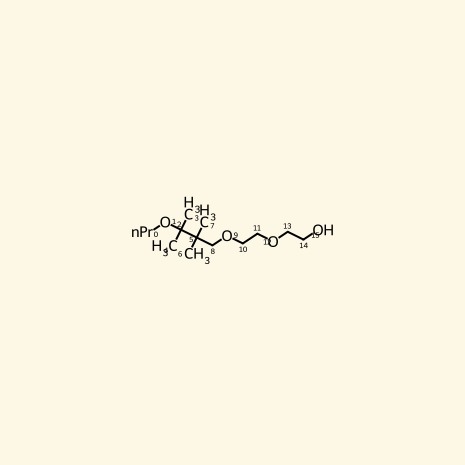 CCCOC(C)(C)C(C)(C)COCCOCCO